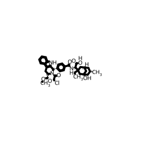 CCC1([C@H](NC(=O)c2ccc([C@H]3c4[nH]c5ccccc5c4C[C@H](C(=O)OC)N3C(=O)CCl)cc2)C(=O)O)C[C@@H]2C[C@H](C)C[C@@](O)(C2)C1